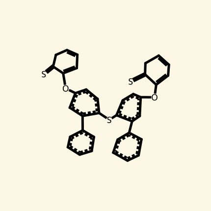 S=C1CC=CC=C1Oc1ccc(Sc2ccc(OC3=CC=CCC3=S)cc2-c2ccccc2)c(-c2ccccc2)c1